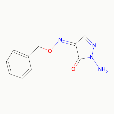 NN1N=CC(=NOCc2ccccc2)C1=O